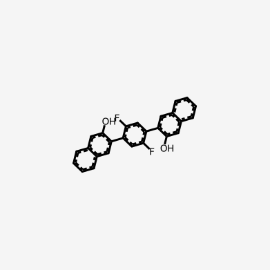 Oc1cc2ccccc2cc1-c1cc(F)c(-c2cc3ccccc3cc2O)cc1F